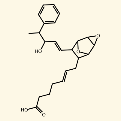 CC(c1ccccc1)C(O)C=CC1C(CC=CCCCC(=O)O)C2OC1C1OC21